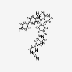 N#Cc1nccc(N2CC3CN(Cc4ccc(-n5c(-c6cccnc6N)nc6ccc(-c7ccc(F)cc7)nc65)cc4)C[C@H]3C2)n1